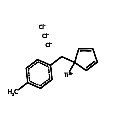 Cc1ccc(C[C]2([Ti+3])C=CC=C2)cc1.[Cl-].[Cl-].[Cl-]